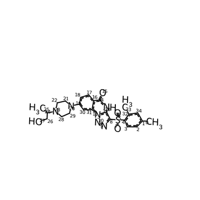 Cc1ccc(S(=O)(=O)c2nnn3c2[nH]c(=O)c2ccc(N4CCN(C(C)CO)CC4)cc23)c(C)c1